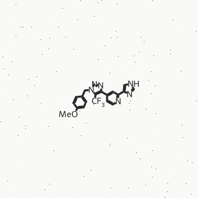 COc1ccc(Cn2nnc(-c3ccnc(-c4c[nH]cn4)c3)c2C(F)(F)F)cc1